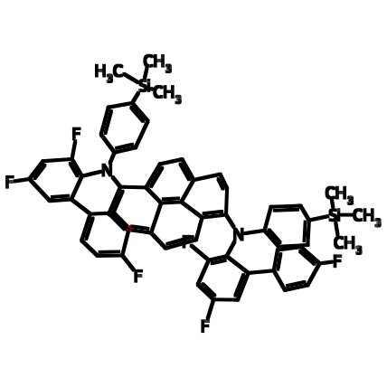 C[Si](C)(C)c1ccc(N(c2c(F)cc(F)cc2-c2ccc(F)cc2)c2ccc3ccc4c(N(c5ccc([Si](C)(C)C)cc5)c5c(F)cc(F)cc5-c5ccc(F)cc5)ccc5ccc2c3c54)cc1